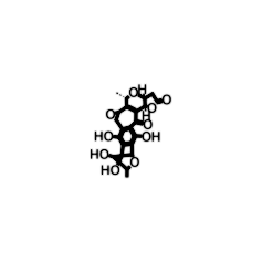 CC1OC2c3c(O)c4c(c(O)c3C23C(O)C13O)C1OC1C1=C(C4=O)[C@@H]2OC(=O)C[C@@H]2O[C@H]1C